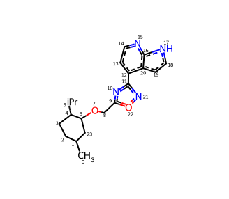 CC1CCC(C(C)C)C(OCc2nc(-c3ccnc4[nH]ccc34)no2)C1